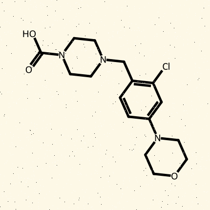 O=C(O)N1CCN(Cc2ccc(N3CCOCC3)cc2Cl)CC1